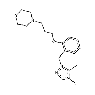 Cc1c(I)cnn1Cc1ccccc1OCCCN1CCOCC1